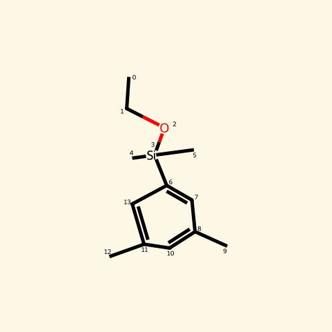 CCO[Si](C)(C)c1cc(C)cc(C)c1